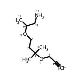 C#CCOC(C)(C)CCOC(C)CN